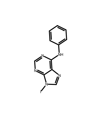 In1cnc2c(Nc3ccccc3)ncnc21